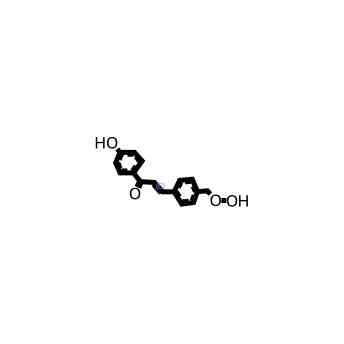 O=C(/C=C/c1ccc(COO)cc1)c1ccc(O)cc1